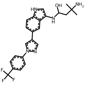 CC(C)(N)CC(O)Nc1c[nH]c2ccc(-c3cnn(-c4ccc(C(F)(F)F)cc4)c3)cc12